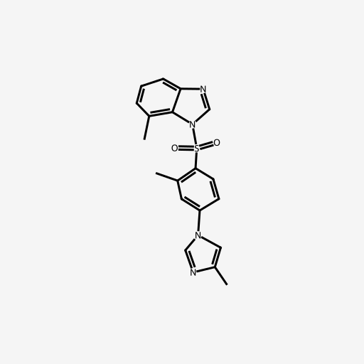 Cc1cn(-c2ccc(S(=O)(=O)n3cnc4cccc(C)c43)c(C)c2)cn1